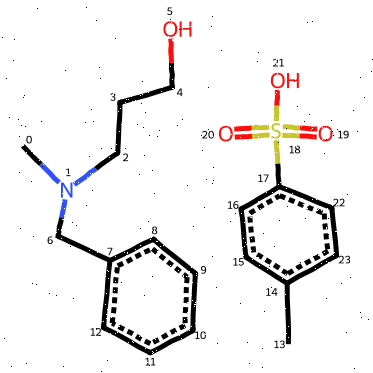 CN(CCCO)Cc1ccccc1.Cc1ccc(S(=O)(=O)O)cc1